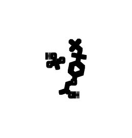 CC(O)COc1ccc(C(C)(C)CC(C)(C)C)cc1.CS(=O)(=O)O